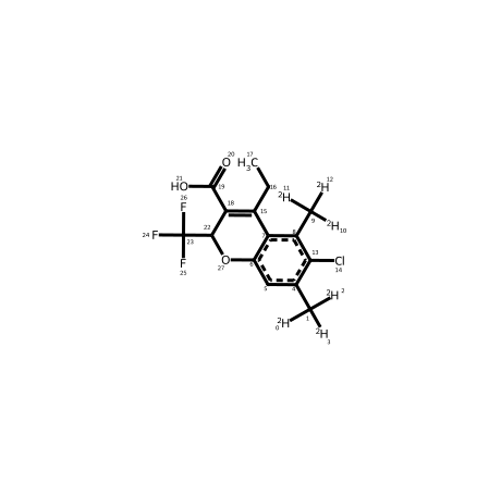 [2H]C([2H])([2H])c1cc2c(c(C([2H])([2H])[2H])c1Cl)C(CC)=C(C(=O)O)C(C(F)(F)F)O2